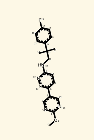 COc1ncc(-c2ccc(NCC(C)(C)c3ccc(F)cc3)nn2)cn1